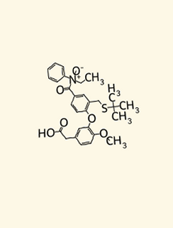 CC[N+]([O-])(C(=O)c1ccc(Oc2cc(CC(=O)O)ccc2OC)c(CSC(C)(C)C)c1)c1ccccc1